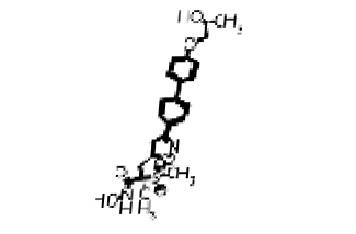 C[C@@H](O)COc1ccc(-c2ccc(C3=NO[C@@H](C[C@](C)(C(=O)NO)S(C)(=O)=O)C3)cc2)cc1